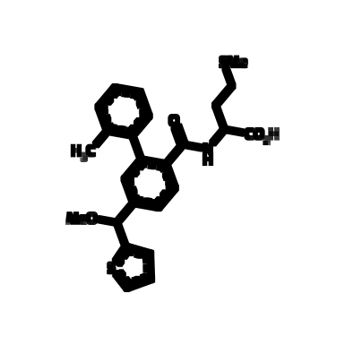 COC(c1ccc(C(=O)NC(CCSC)C(=O)O)c(-c2ccccc2C)c1)c1cccs1